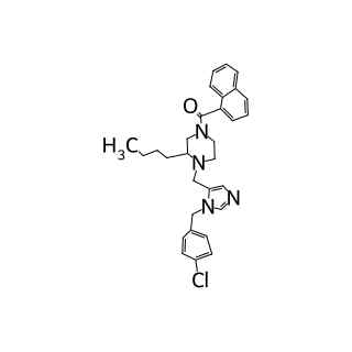 CCCCC1CN(C(=O)c2cccc3ccccc23)CCN1Cc1cncn1Cc1ccc(Cl)cc1